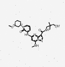 CNc1cc(Nc2cccn([C@@H]3CCC[C@@H](OC)C3)c2=O)nc2c(C(=O)NCC(C)(C)CO)cnn12